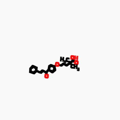 CC(C)(CCCOc1ccc(C(=O)/C=C/c2ccccc2)cc1)C(=O)O